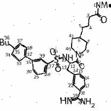 CNC(=O)CCCC1CCN(C(=O)[C@@H](Cc2cccc(C(=N)N)c2)NS(=O)(=O)c2cccc(-c3ccc(C(C)(C)C)cc3)c2)CC1